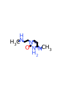 C/N=C(N)\C=C/N(C=O)CCNC